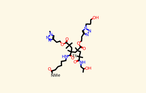 CCC(C)(CC(C)(CC(C)(CC(C)(C)C(=O)OCCc1cn(C)nn1)C(=O)NCCCCCC(=O)NC)C(=O)OCCc1cn(CCCO)nn1)C(=O)NCC(C)O